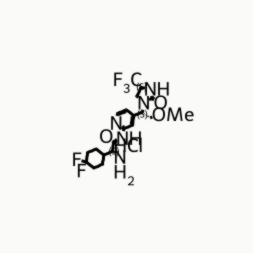 COC[C@H](c1ccnc(NC(=O)[C@@H](N)C2CCC(F)(F)CC2)c1)N1C[C@@H](C(F)(F)F)NC1=O.Cl